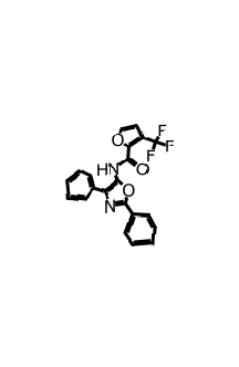 O=C(Nc1oc(-c2ccccc2)nc1-c1ccccc1)c1occc1C(F)(F)F